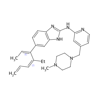 C=C/C=C(CC)\C(=C/C)c1ccc2nc(Nc3cc(CN4CCN(C)CC4)ccn3)[nH]c2c1